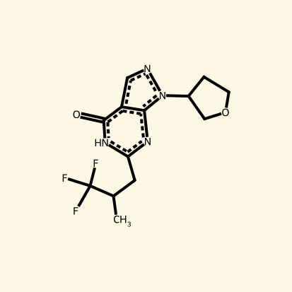 CC(Cc1nc2c(cnn2C2CCOC2)c(=O)[nH]1)C(F)(F)F